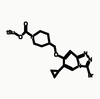 CC(C)(C)OC(=O)N1CCC(COc2cc3nnc(Br)n3cc2C2CC2)CC1